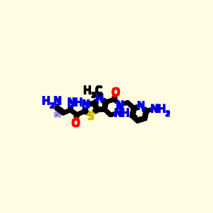 Cn1c2c(c3sc(C(=O)C(=N)/C=C\N)nc31)CNN(Cc1cccc(N)n1)C2=O